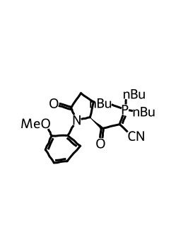 CCCCP(CCCC)(CCCC)=C(C#N)C(=O)[C@@H]1CCC(=O)N1c1ccccc1OC